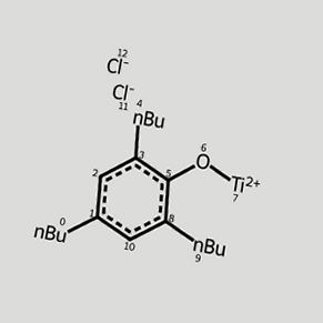 CCCCc1cc(CCCC)c([O][Ti+2])c(CCCC)c1.[Cl-].[Cl-]